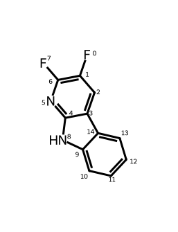 Fc1cc2c(nc1F)[nH]c1ccccc12